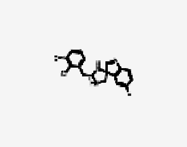 Fc1ccc2c(c1)C1(C=N2)CN[C@@H](Cc2cccc(Cl)c2Cl)N1